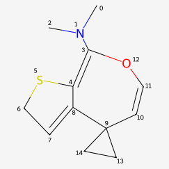 CN(C)C1=C2SCC=C2C2(C=CO1)CC2